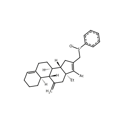 C=C1C[C@]2(CC)C(C(C)=O)=C(C[S+]([O-])c3ccccc3)C[C@H]2[C@@H]2CCC3=CCCC[C@@H]3[C@@H]12